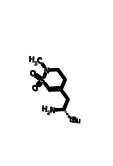 CN1CCC(C[C@@H](N)C(C)(C)C)=CS1(=O)=O